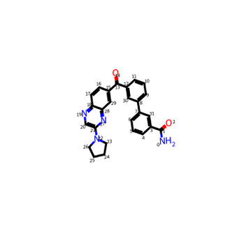 NC(=O)c1cccc(-c2cccc(C(=O)c3ccc4ncc(N5CCCC5)nc4c3)c2)c1